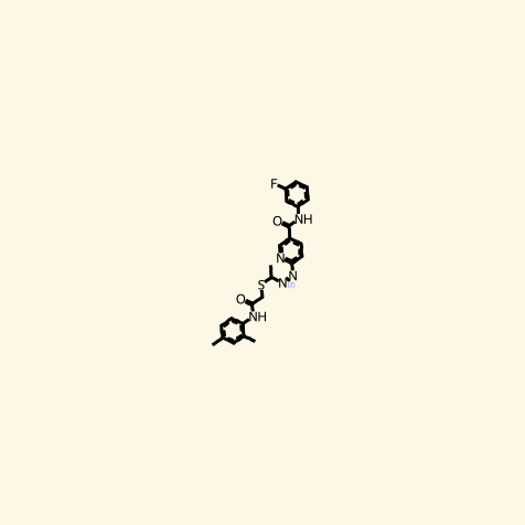 Cc1ccc(NC(=O)CSC(C)/N=N\c2ccc(C(=O)Nc3cccc(F)c3)cn2)c(C)c1